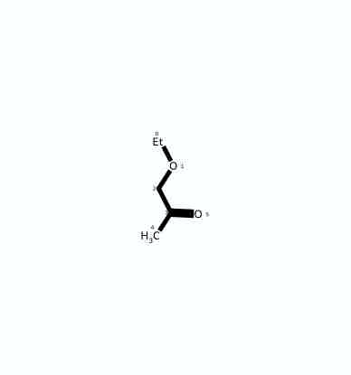 CCO[CH]C(C)=O